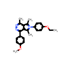 CCOc1ccc(-n2c(C)c3c(C)nnc(-c4ccc(OC)cc4)c3c2C)cc1